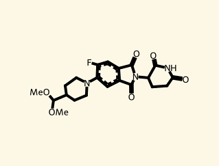 COC(OC)C1CCN(c2cc3c(cc2F)C(=O)N(C2CCC(=O)NC2=O)C3=O)CC1